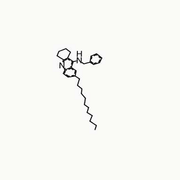 CCCCCCCCCCCCc1ccc2nc3c(c(NCc4ccccc4)c2c1)CCCC3